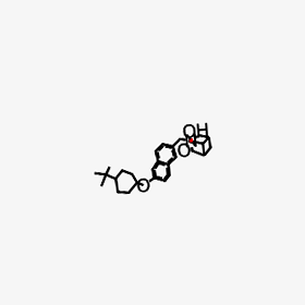 CC(C)(C)C1CCC(Oc2ccc3cc(CN4CC5CC(C4)C5C(=O)O)ccc3c2)CC1